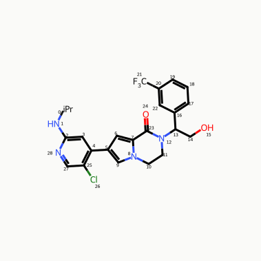 CC(C)Nc1cc(-c2cc3n(c2)CCN(C(CO)c2cccc(C(F)(F)F)c2)C3=O)c(Cl)cn1